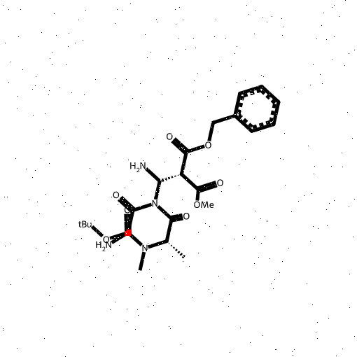 COC(=O)[C@@H](C(=O)OCc1ccccc1)C(N)N(C(=O)CN)C(=O)[C@H](C)N(C)C(=O)OC(C)(C)C